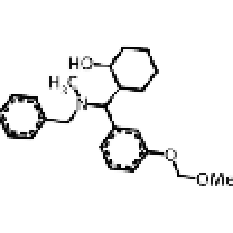 COCOc1cccc(C([C@@H]2CCCC[C@@H]2O)N(C)Cc2ccccc2)c1